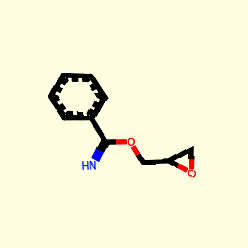 N=C(OCC1CO1)c1ccccc1